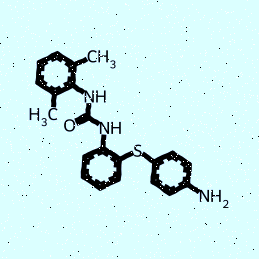 Cc1cccc(C)c1NC(=O)Nc1ccccc1Sc1ccc(N)cc1